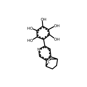 Oc1c(O)c(O)c(-c2cc3c(cn2)C2CCC3CC2)c(O)c1O